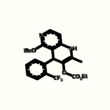 CCOC(=O)OC1=C(C)Nc2ccnc(OCC(C)C)c2C1c1ccccc1C(F)(F)F